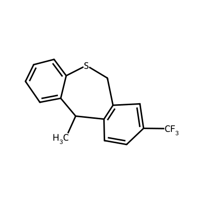 CC1c2ccc(C(F)(F)F)cc2CSc2ccccc21